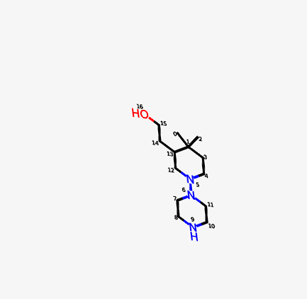 CC1(C)CCN(N2CCNCC2)CC1CCO